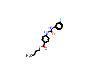 CCCCOC(=O)c1ccc(NC(=O)Nc2cccc(F)c2)cc1